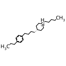 CCCCC[Si@H]1CC[C@H](CCCCc2ccc(CCC)cc2)CC1